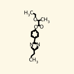 CCCc1cnc(-c2ccc(OC(=O)C(C)OCC)cc2)nc1